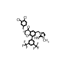 Cn1ccn(Cc2cc3c(c(-c4cc(C(F)(F)F)cc(C(F)(F)F)c4)c2)OC[C@H](Cc2ccc(Cl)c(Cl)c2)C3=O)c1=N